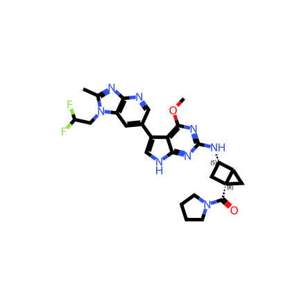 COc1nc(N[C@H]2C[C@]3(C(=O)N4CCCC4)CC23)nc2[nH]cc(-c3cnc4nc(C)n(CC(F)F)c4c3)c12